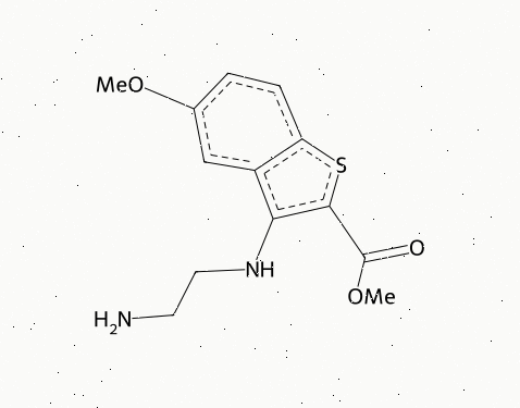 COC(=O)c1sc2ccc(OC)cc2c1NCCN